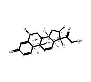 C[C@@H]1C[C@H]2[C@@H]3C[C@H](F)C4=CC(=O)C=C[C@]4(C)[C@@]3(F)C=C[C@]2(C)[C@@]1(O)C(=O)CO